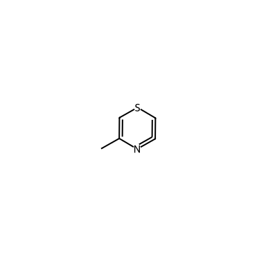 CC1=CSC=C=N1